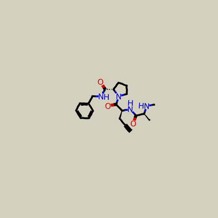 C#CC[C@H](NC(=O)[C@H](C)NC)C(=O)N1CCC[C@H]1C(=O)NCc1ccccc1